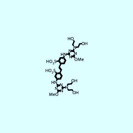 COc1nc(Nc2ccc(/C=C/c3ccc(Nc4nc(OC)nc(N(CCO)CCO)n4)cc3S(=O)(=O)O)c(S(=O)(=O)O)c2)nc(N(CCO)CCO)n1